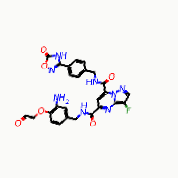 Nc1cc(CNC(=O)c2cc(C(=O)NCc3ccc(-c4noc(=O)[nH]4)cc3)n3ncc(F)c3n2)ccc1OCC=O